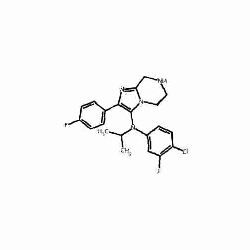 CC(C)N(c1ccc(Cl)c(F)c1)c1c(-c2ccc(F)cc2)nc2n1CCNC2